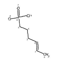 CC=CCCCP(=O)(Cl)Cl